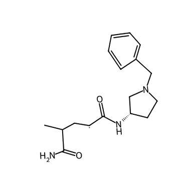 CC(C[CH]C(=O)N[C@H]1CCN(Cc2ccccc2)C1)C(N)=O